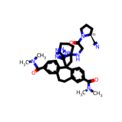 CN(C)C(=O)c1ccc2c(c1)CCc1cc(C(=O)N(C)C)ccc1C2(CC1(NCC(=O)N2CCC[C@H]2C#N)CCCCC1)c1nnn[nH]1